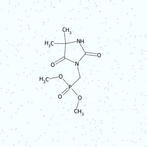 COP(=O)(CN1C(=O)NC(C)(C)C1=O)OC